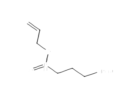 C=CCO[PH](=O)CCCCCCCC